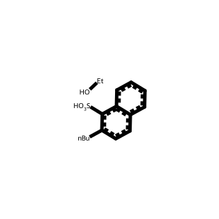 CCCCc1ccc2ccccc2c1S(=O)(=O)O.CCO